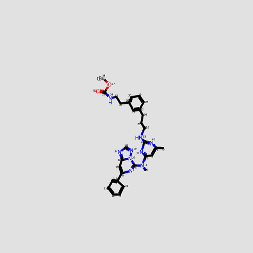 Cc1cc(N(C)c2nc(-c3ccccc3)cc3ncnn23)nc(NCCCc2cccc(CCNC(=O)OC(C)(C)C)c2)n1